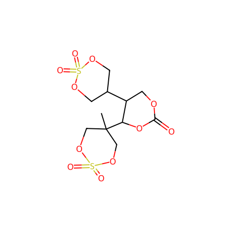 CC1(C2OC(=O)OCC2C2COS(=O)(=O)OC2)COS(=O)(=O)OC1